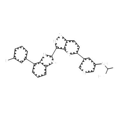 CC(C)Nc1cncc(-c2ccc3[nH]nc(-c4nc5c(-c6cccc(F)c6)cccc5[nH]4)c3n2)c1